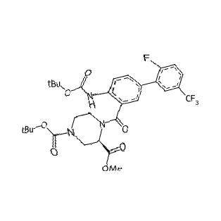 COC(=O)[C@H]1CN(C(=O)OC(C)(C)C)CCN1C(=O)c1cc(-c2cc(C(F)(F)F)ccc2F)ccc1NC(=O)OC(C)(C)C